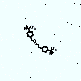 FC(F)(F)C1(c2ccc(CCCOCc3ccc(C4(C(F)(F)F)C=N4)cc3)cc2)C=N1